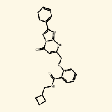 O=C(NCC1CCC1)c1ccccc1OCc1cc(=O)n2nc(C3=CC=CCC3)nc2[nH]1